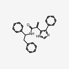 C=C(C(=O)NC(Cc1ccccc1)c1ccccc1)c1[nH]cnc1-c1ccccc1